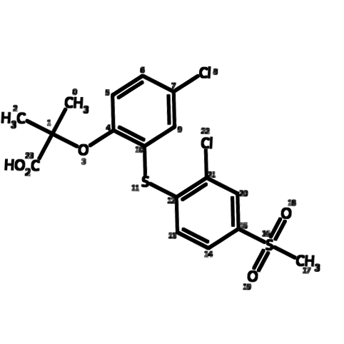 CC(C)(Oc1ccc(Cl)cc1Sc1ccc(S(C)(=O)=O)cc1Cl)C(=O)O